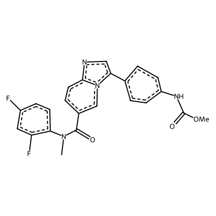 COC(=O)Nc1ccc(-c2cnc3ccc(C(=O)N(C)c4ccc(F)cc4F)cn23)cc1